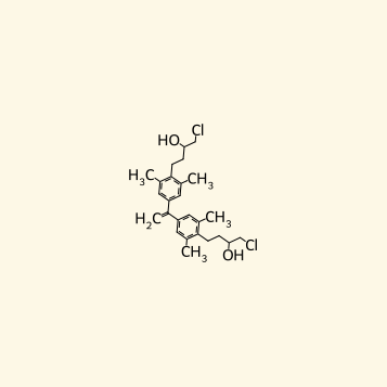 C=C(c1cc(C)c(CCC(O)CCl)c(C)c1)c1cc(C)c(CCC(O)CCl)c(C)c1